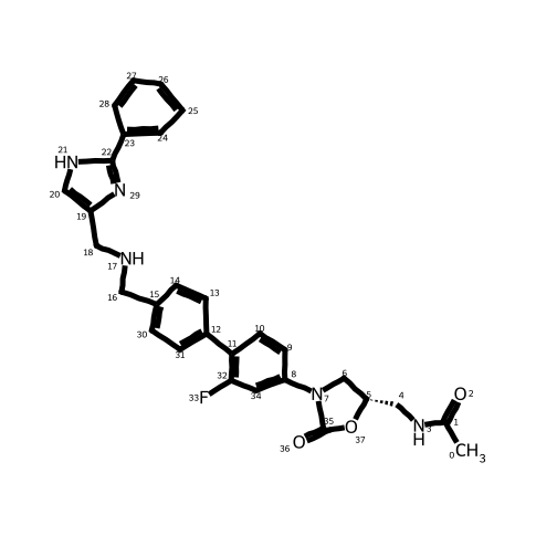 CC(=O)NC[C@H]1CN(c2ccc(-c3ccc(CNCc4c[nH]c(-c5ccccc5)n4)cc3)c(F)c2)C(=O)O1